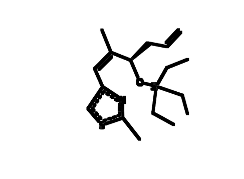 C=CC[C@@H](O[Si](CC)(CC)CC)C(C)=Cc1csc(C)n1